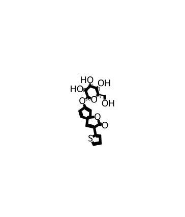 O=c1oc2cc(O[C@@H]3O[C@H](CO)[C@H](O)[C@H](O)[C@H]3O)ccc2cc1-c1cccs1